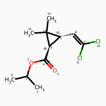 CC(C)OC(=O)[C@@H]1[C@@H](C=C(Cl)Cl)C1(C)C